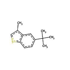 Cc1csc2ccc(C(C)(C)C)cc12